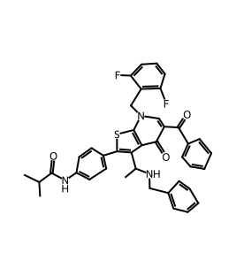 CC(C)C(=O)Nc1ccc(-c2sc3c(c2C(C)NCc2ccccc2)c(=O)c(C(=O)c2ccccc2)cn3Cc2c(F)cccc2F)cc1